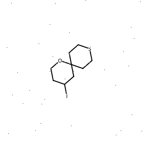 IC1CCOC2(CCSCC2)C1